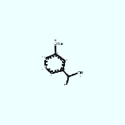 COc1cc(C(C)O)cnn1